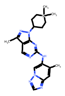 Cc1cc2ncnn2cc1Nc1ncc2c(C)nn(C3CC[Si](C)(C)CC3)c2n1